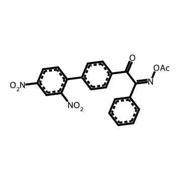 CC(=O)O/N=C(\C(=O)c1ccc(-c2ccc([N+](=O)[O-])cc2[N+](=O)[O-])cc1)c1ccccc1